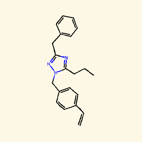 C=Cc1ccc(Cn2nc(Cc3ccccc3)nc2CCC)cc1